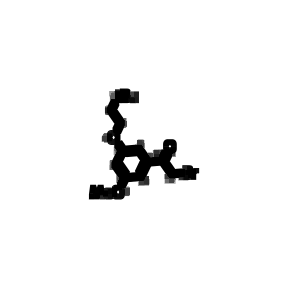 COc1cc(OCCC(C)(C)C)cc(C(=O)CBr)c1